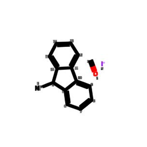 [C]=O.[I-].[Ni+][CH]1c2ccccc2-c2ccccc21